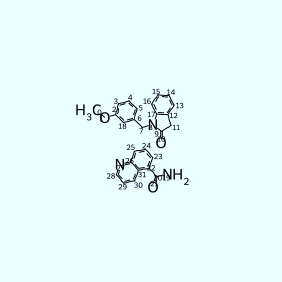 COc1cccc(CN2C(=O)Cc3ccccc32)c1.NC(=O)c1cccc2ncccc12